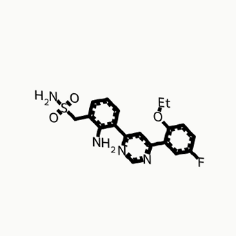 CCOc1ccc(F)cc1-c1cc(-c2cccc(CS(N)(=O)=O)c2N)ncn1